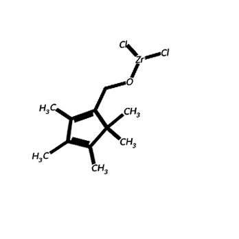 CC1=C(C)C(C)(C)C(C[O][Zr]([Cl])[Cl])=C1C